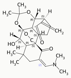 C=C1C(=O)[C@@]23[C@@H]4OC(C)(C)O[C@]25OC[C@]2(C(=O)/C(=C\N(C)C)CC(C)(C)[C@H]2[C@@H]5O)[C@@H]3CC[C@@H]14